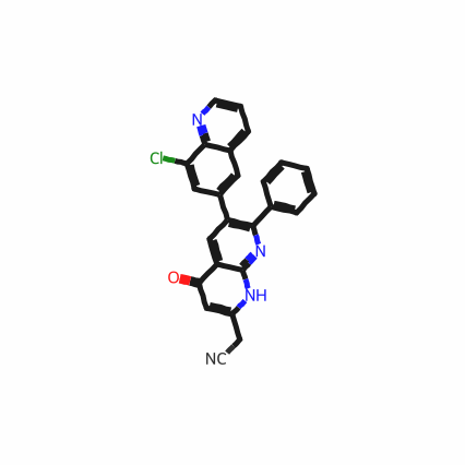 N#CCc1cc(=O)c2cc(-c3cc(Cl)c4ncccc4c3)c(-c3ccccc3)nc2[nH]1